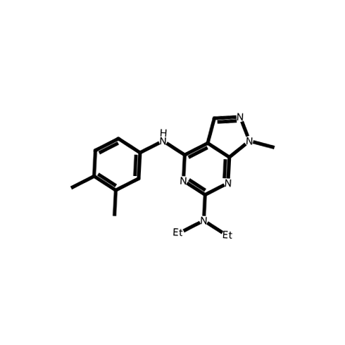 CCN(CC)c1nc(Nc2ccc(C)c(C)c2)c2cnn(C)c2n1